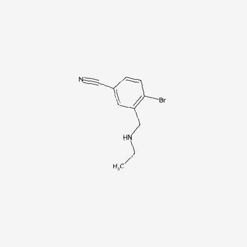 CCNCc1cc(C#N)ccc1Br